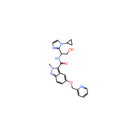 Cn1nc2ccc(OCc3ccccn3)cc2c1C(=O)NC(CO)c1nccn1C1CC1